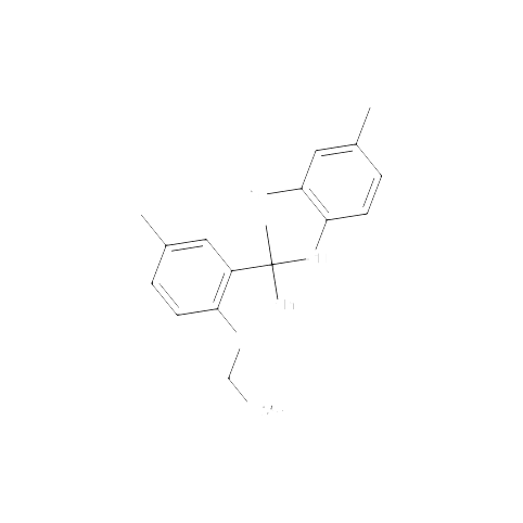 CCCC(C)(Pc1ccc(C)cc1C(C)=O)c1cc(C)ccc1OCOC